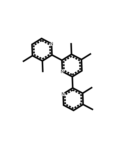 Cc1ccnc(-c2cc(C)c(C)c(-c3nccc(C)c3C)n2)c1C